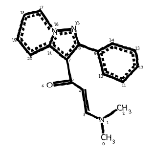 CN(C)C=CC(=O)c1c(-c2ccccc2)nn2ccccc12